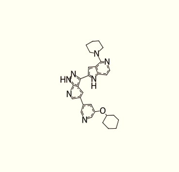 c1cc2[nH]c(-c3n[nH]c4ncc(-c5cncc(OC6CCCCC6)c5)cc34)cc2c(N2CCCCC2)n1